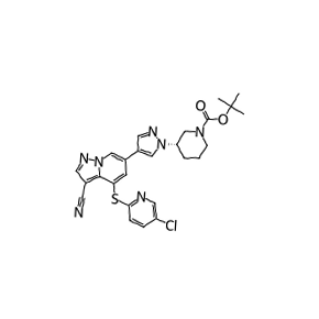 CC(C)(C)OC(=O)N1CCC[C@H](n2cc(-c3cc(Sc4ccc(Cl)cn4)c4c(C#N)cnn4c3)cn2)C1